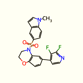 Cn1ccc2cc(S(=O)(=O)N3CCOc4ccc(-c5ccnc(F)c5F)cc43)ccc21